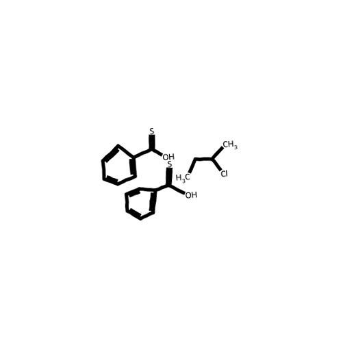 CCC(C)Cl.OC(=S)c1ccccc1.OC(=S)c1ccccc1